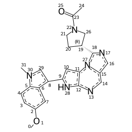 COc1ccc2c(c1)c(-c1cc3c(ncc4cnc([C@@H]5CCN(C(C)=O)C5)n43)[nH]1)cn2C